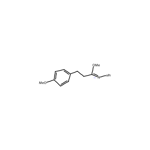 CCC/N=C(/CCc1ccc(OC)cc1)OC